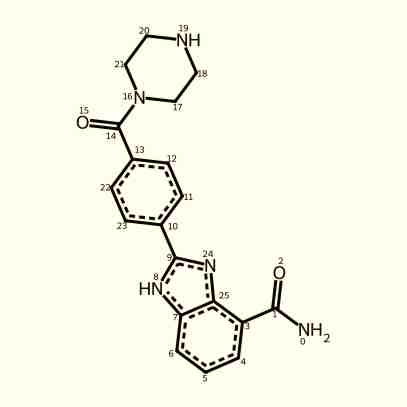 NC(=O)c1cccc2[nH]c(-c3ccc(C(=O)N4CCNCC4)cc3)nc12